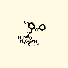 C=C(/N=C/c1cc(Cl)ccc1OC1CCCCC1)O[Si](C)(C)C